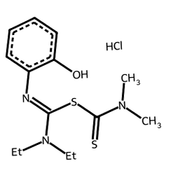 CCN(CC)/C(=N/c1ccccc1O)SC(=S)N(C)C.Cl